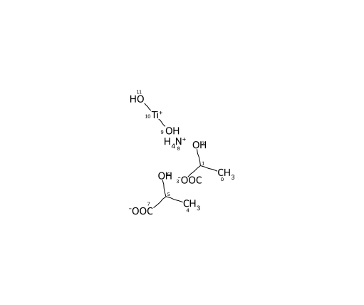 CC(O)C(=O)[O-].CC(O)C(=O)[O-].[NH4+].[OH][Ti+][OH]